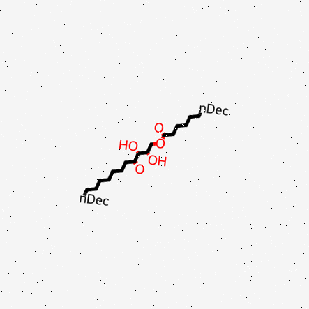 CCCCCCCCCCCCCCCCCC(=O)C(O)C(O)COC(=O)CCCCCCCCCCCCCCC